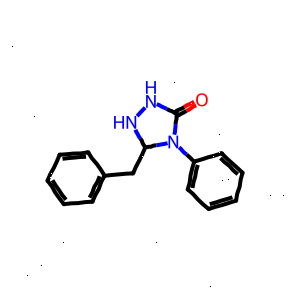 O=C1NNC(Cc2ccccc2)N1c1ccccc1